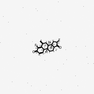 C=C1C[C@@H]2[C@H](CC[C@]3(C)C(=O)C(F)C[C@@H]23)[C@@]2(C)C=CC(=O)C(F)=C12